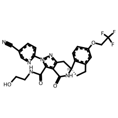 N#Cc1ccc(-n2nc3c(c2C(=O)NCCO)C(=O)N[C@@]2(CCc4cc(OCC(F)(F)F)ccc42)C3)nc1